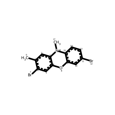 Cc1cc2c(cc1Br)Oc1cc(Br)ccc1N2C